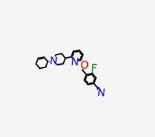 N#Cc1ccc(COc2cccc(C3CCN([C@H]4C=CCCC4)CC3)n2)c(F)c1